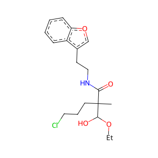 CCOC(O)C(C)(CCCCl)C(=O)NCCc1coc2ccccc12